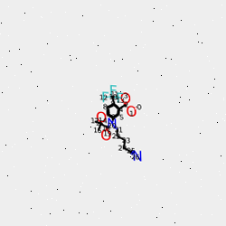 COC(=O)c1cc2c(cc1C(F)(F)F)OC(C)(C)C(=O)N2CCCCC#N